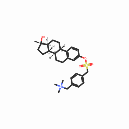 C[C@]1(O)CC[C@H]2[C@@H]3CCc4cc(OS(=O)(=O)Cc5ccc(C[N+](C)(C)C)cc5)ccc4[C@H]3CC[C@@H]21